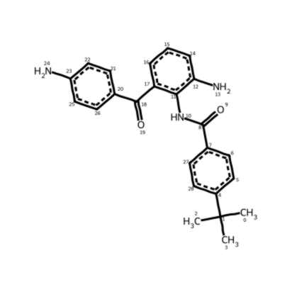 CC(C)(C)c1ccc(C(=O)Nc2c(N)cccc2C(=O)c2ccc(N)cc2)cc1